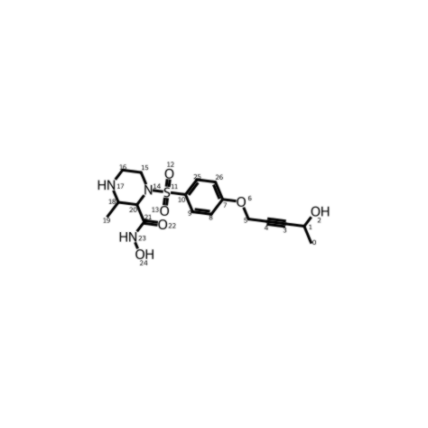 CC(O)C#CCOc1ccc(S(=O)(=O)N2CCNC(C)C2C(=O)NO)cc1